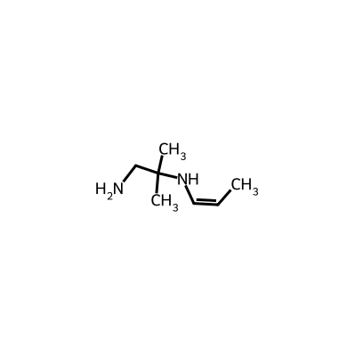 C/C=C\NC(C)(C)CN